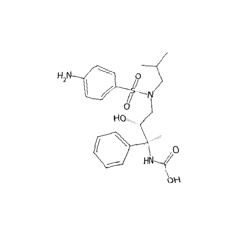 CC(C)CN(C[C@@H](O)[C@@](C)(NC(=O)O)c1ccccc1)S(=O)(=O)c1ccc(N)cc1